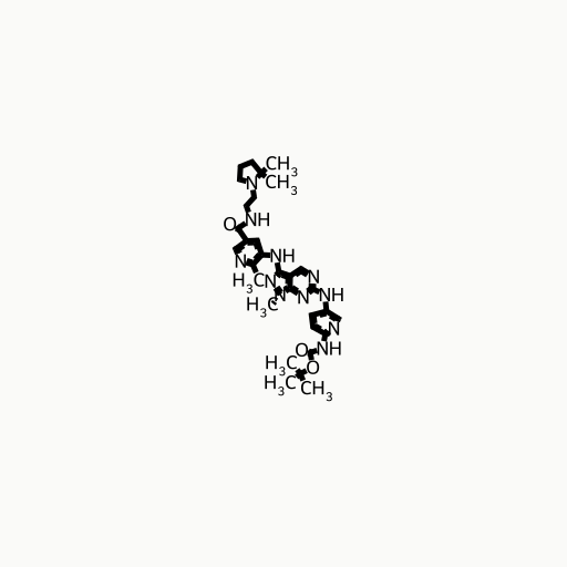 Cc1ncc(C(=O)NCCN2CCCC2(C)C)cc1Nc1nn(C)c2nc(Nc3ccc(NC(=O)OC(C)(C)C)nc3)ncc12